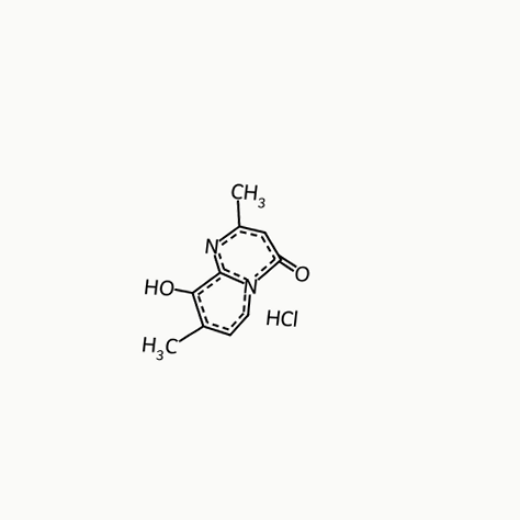 Cc1cc(=O)n2ccc(C)c(O)c2n1.Cl